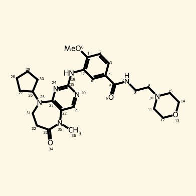 COc1ccc(C(=O)NCCN2CCOCC2)cc1Nc1ncc2c(n1)N(C1CCCC1)CCC(=O)N2C